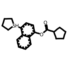 O=C(Oc1ccc([SH]2CCCC2)c2ccccc12)C1CCCC1